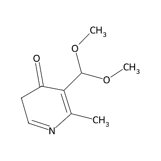 COC(OC)C1=C(C)N=CCC1=O